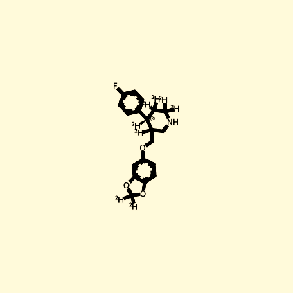 [2H]C1([2H])Oc2ccc(OCC3([2H])CNC([2H])([2H])C([2H])([2H])[C@@]3([2H])c3ccc(F)cc3)cc2O1